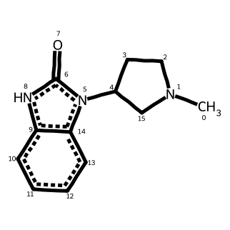 CN1CCC(n2c(=O)[nH]c3ccccc32)C1